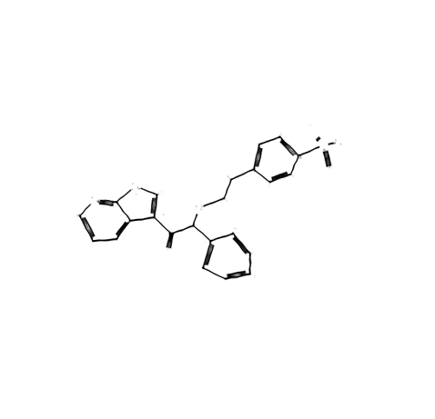 NS(=O)(=O)c1ccc(CCNC(C(=O)c2c[nH]c3ncccc23)c2ccccc2)cc1